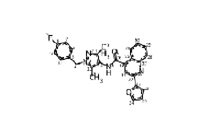 Cc1nn(Cc2ccc(F)cc2)c(C)c1NC(=O)c1cc(-c2ccco2)nc2ccccc12